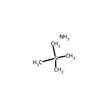 N.[CH2][Si](C)(C)C